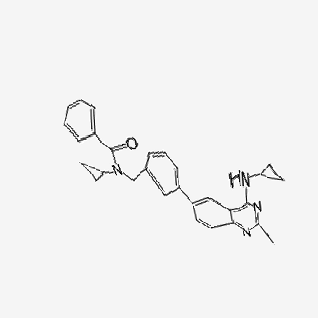 Cc1nc(NC2CC2)c2cc(-c3cccc(CN(C(=O)c4ccccc4)C4CC4)c3)ccc2n1